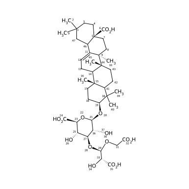 CC1(C)CC[C@]2(C(=O)O)CC[C@]3(C)C(=CCC4[C@@]5(C)CC[C@H](O[C@@H]6O[C@H](C(=O)O)[C@@H](O)[C@H](O[C@@H](OCC(=O)O)[C@@H](O)C(=O)O)[C@H]6O)C(C)(C)C5CC[C@]43C)C2C1